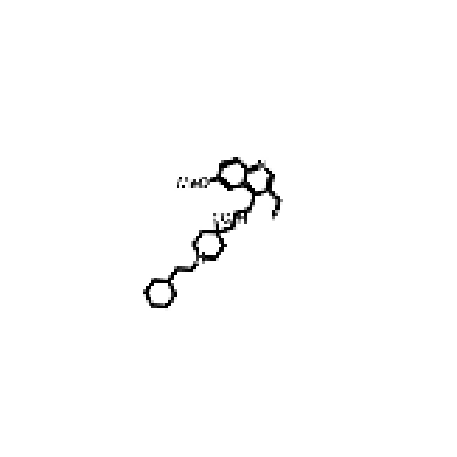 COc1ccc2ncc(CF)c(CCCC3(C(=O)O)CCN(CCC4CCCCC4)CC3)c2c1